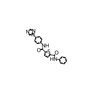 O=C(Nc1ccccc1)c1ccc(C(=O)Nc2ccc(-n3cncn3)cc2)s1